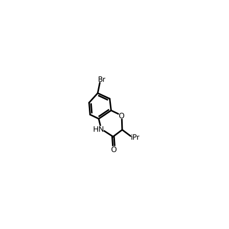 CC(C)C1Oc2cc(Br)ccc2NC1=O